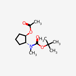 CC(=O)O[C@@H]1CCC[C@H]1N(C)C(=O)OC(C)(C)C